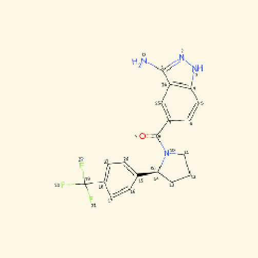 Nc1n[nH]c2ccc(C(=O)N3CCC[C@H]3c3ccc(C(F)(F)F)cc3)cc12